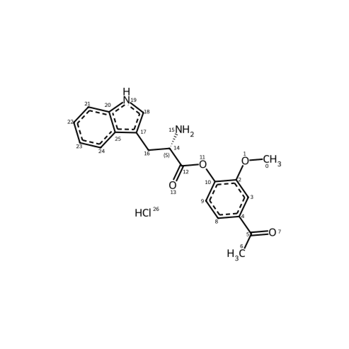 COc1cc(C(C)=O)ccc1OC(=O)[C@@H](N)Cc1c[nH]c2ccccc12.Cl